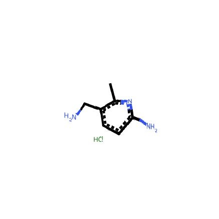 Cc1nc(N)ccc1CN.Cl